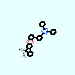 CC1(C)c2ccccc2-c2cc3c(cc21)Oc1cccc(-c2cccc(-c4nc(-c5ccccc5)nc(-c5ccccc5)n4)c2)c1O3